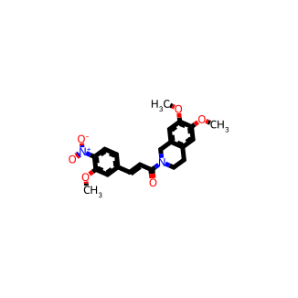 COc1cc2c(cc1OC)CN(C(=O)/C=C/c1ccc([N+](=O)[O-])c(OC)c1)CC2